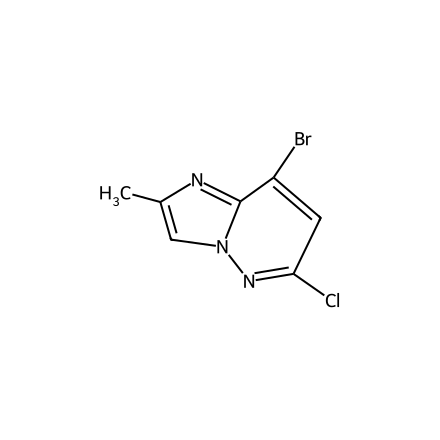 Cc1cn2nc(Cl)cc(Br)c2n1